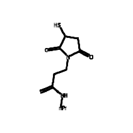 C=C(CCN1C(=O)CC(S)C1=O)NCCC